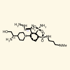 CNCCCNS(=O)(=O)c1ccc(N2CCC([C@@H](N)CO)CC2)c(/C(N)=N/NN)c1S(N)(=O)=O